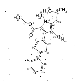 CCOC(=O)c1c(-c2ccc(-c3ccccc3)cc2)c(C#N)c(SC(C)C)n1C